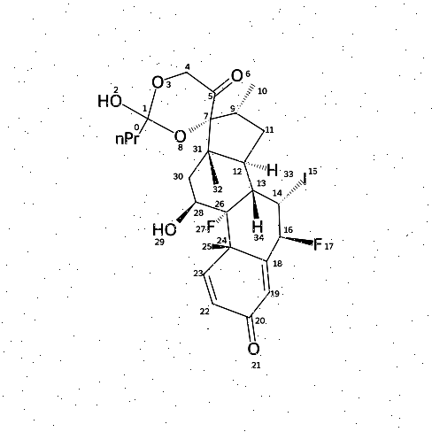 CCCC1(O)OCC(=O)[C@@]2(O1)[C@H](C)C[C@H]1[C@@H]3[C@H](I)[C@@H](F)C4=CC(=O)C=C[C@]4(C)[C@@]3(F)[C@@H](O)C[C@@]12C